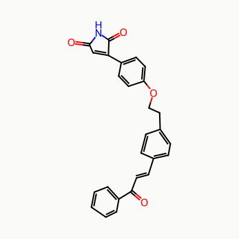 O=C1C=C(c2ccc(OCCc3ccc(C=CC(=O)c4ccccc4)cc3)cc2)C(=O)N1